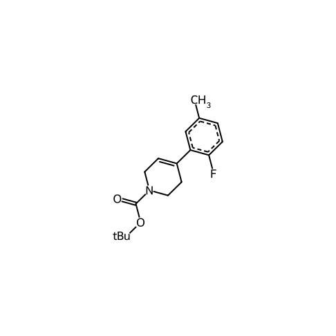 Cc1ccc(F)c(C2=CCN(C(=O)OC(C)(C)C)CC2)c1